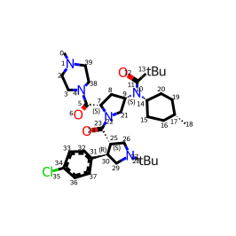 CN1CCN(C(=O)[C@@H]2C[C@H](N(C(=O)C(C)(C)C)[C@H]3CC[C@@H](C)CC3)CN2C(=O)[C@@H]2CN(C(C)(C)C)C[C@H]2c2ccc(Cl)cc2)CC1